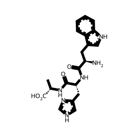 C[C@H](NC(=O)[C@@H](Cc1c[nH]cn1)NC(=O)[C@H](N)Cc1c[nH]c2ccccc12)C(=O)O